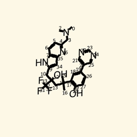 CN(C)Cc1ccc2[nH]c(CC(O)(CC(C)(C)c3cc(-c4cncnc4)ccc3O)C(F)(F)F)cc2n1